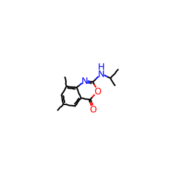 Cc1cc(C)c2nc(NC(C)C)oc(=O)c2c1